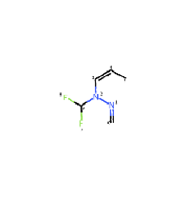 C=NN(/C=C\C)C(F)F